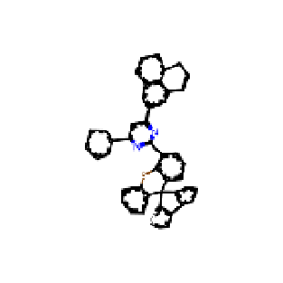 C1=Cc2cc(-c3cc(-c4ccccc4)nc(-c4cccc5c4Sc4ccccc4C54c5ccccc5-c5ccccc54)n3)cc3cccc(c23)C1